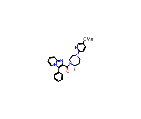 COc1ccc(N2CC[C@@H](C)N(C(=O)c3nc4ccccn4c3-c3ccccc3)CC2)nc1